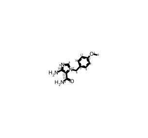 COc1ccc(Cn2cnc(N)c2C(N)=O)cc1